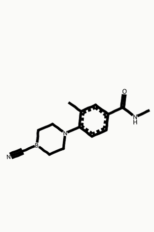 CNC(=O)c1ccc(N2CCB(C#N)CC2)c(C)c1